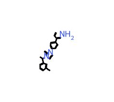 C=C/C(=C\N)c1ccc(N2C=CN(C(C)c3cccc(C)c3)C2=C)cc1